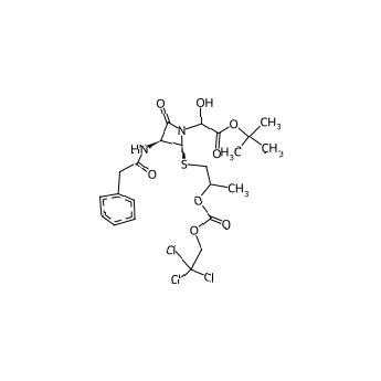 CC(CS[C@H]1[C@@H](NC(=O)Cc2ccccc2)C(=O)N1C(O)C(=O)OC(C)(C)C)OC(=O)OCC(Cl)(Cl)Cl